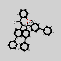 CC1=C(c2ccc(-c3ccccc3)cc2)[B-](c2ccc(-c3ccccc3)cc2)(c2ccc(-c3ccccc3)cc2)[O+](C)c2ccccc21